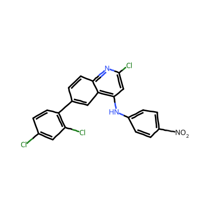 O=[N+]([O-])c1ccc(Nc2cc(Cl)nc3ccc(-c4ccc(Cl)cc4Cl)cc23)cc1